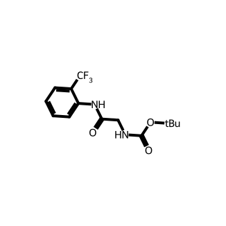 CC(C)(C)OC(=O)NCC(=O)Nc1ccccc1C(F)(F)F